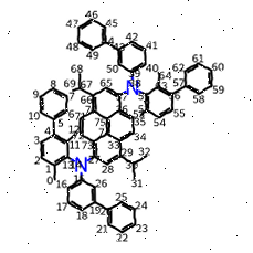 Cc1ccc(-c2ccccc2)c(C)c1N(c1cccc(-c2ccccc2)c1)c1cc(C(C)C)c2ccc3c(N(c4cccc(-c5ccccc5)c4)c4c(C)ccc(-c5ccccc5)c4C)cc(C(C)C)c4ccc1c2c43